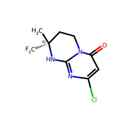 C[C@@]1(C(F)(F)F)CCn2c(nc(Cl)cc2=O)N1